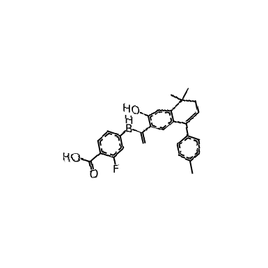 C=C(Bc1ccc(C(=O)O)c(F)c1)c1cc2c(cc1O)C(C)(C)CC=C2c1ccc(C)cc1